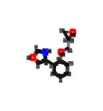 c1ccc(-c2cocn2)c(OC[C@@H]2CO2)c1